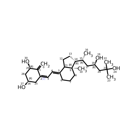 C=C1/C(=C\C=C2CCC[C@@]3(C)C2CC[C@@H]3[C@H](C)C[C@@H](O)CC(C)(C)O)C[C@@H](O)C[C@H]1O